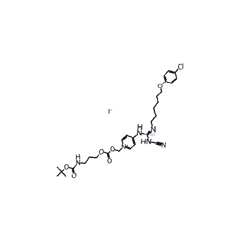 CC(C)(C)OC(=O)NCCCOC(=O)OC[n+]1ccc(N/C(=N\CCCCCCOc2ccc(Cl)cc2)NC#N)cc1.[I-]